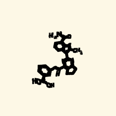 Cc1sc2c(C(N)=O)cccc2c1-c1nc2c(c(NCc3cccc(B(O)O)c3)n1)CCC2